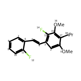 COc1cc(/C=C/c2ccccc2F)c(F)c(OC)c1C(C)C